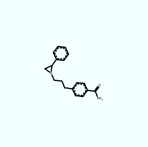 NC(=O)c1ccc(CCCN2CC2c2ccccc2)cc1